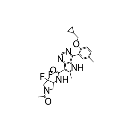 CC(=O)N1CC(NC(=O)c2c(C)[nH]c3c(-c4cc(C)ccc4OCC4CC4)ncnc23)C(F)(F)C1